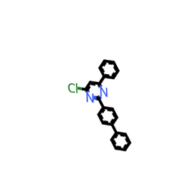 Clc1cc(-c2ccccc2)nc(-c2ccc(-c3ccccc3)cc2)n1